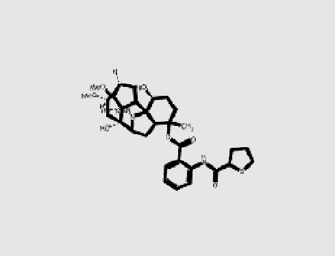 CNN1C2CC3C(C)(OC(=O)c4ccccc4NC(=O)C4CCCO4)CC[C@H](OC)C31C1C[C@@H]3[C@@H](OC)C[C@@]2(O)[C@@]1(O)[C@H]3OC